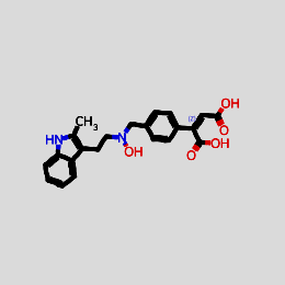 Cc1[nH]c2ccccc2c1CCN(O)Cc1ccc(/C(=C/C(=O)O)C(=O)O)cc1